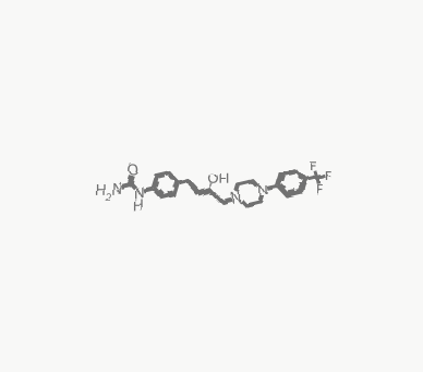 NC(=O)Nc1ccc(C=C[C@H](O)CN2CCN(c3ccc(C(F)(F)F)cc3)CC2)cc1